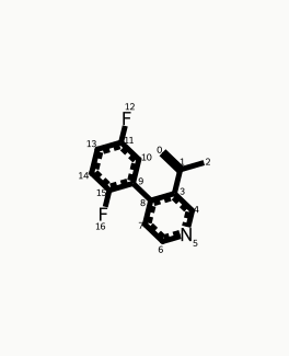 C=C(C)c1cnccc1-c1cc(F)ccc1F